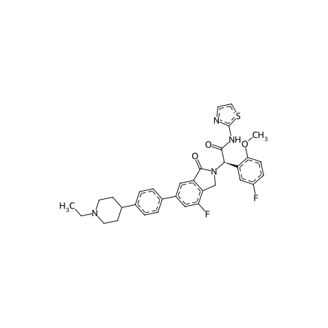 CCN1CCC(c2ccc(-c3cc(F)c4c(c3)C(=O)N([C@@H](C(=O)Nc3nccs3)c3cc(F)ccc3OC)C4)cc2)CC1